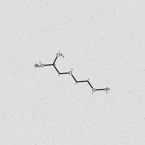 CCCOCCOCC(C)OCC(C)C